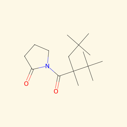 CC(C)(C)CC(C)(C(=O)N1CCCC1=O)C(C)(C)C